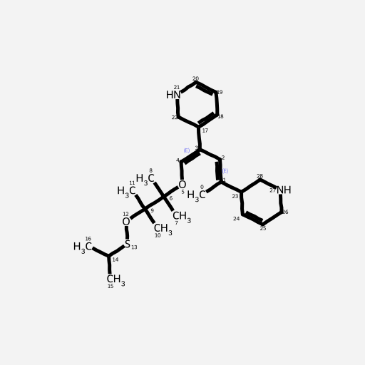 C/C(=C\C(=C/OC(C)(C)C(C)(C)OSC(C)C)C1=CC=CNC1)C1C=CCNC1